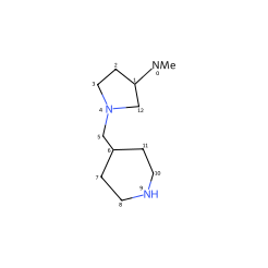 CNC1CCN(CC2CCNCC2)C1